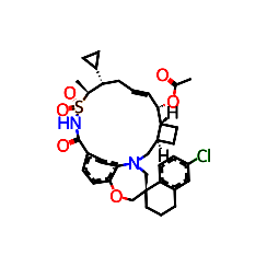 CC(=O)O[C@H]1/C=C/C[C@@H](C2CC2)[C@H](C)S(=O)(=O)NC(=O)c2ccc3c(c2)N(C[C@@H]2CC[C@H]21)C[C@@]1(CCCc2cc(Cl)ccc21)CO3